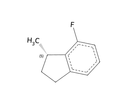 C[C@H]1CCc2cccc(F)c21